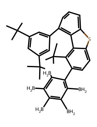 Bc1c(B)c(B)c(-c2ccc3sc4cccc(-c5cc(C(C)(C)C)cc(C(C)(C)C)c5)c4c3c2C(C)(C)C)c(B)c1B